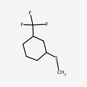 CSC1CCCC(C(F)(F)F)C1